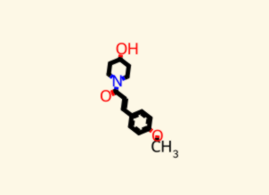 COc1ccc(C=CC(=O)N2CCC(O)CC2)cc1